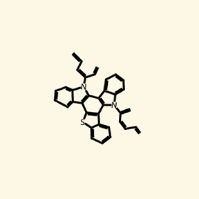 C=C/C=C\C(=C)n1c2ccccc2c2c1c1c3ccccc3sc1c1c3ccccc3n(/C(C=C)=C/C=C)c12